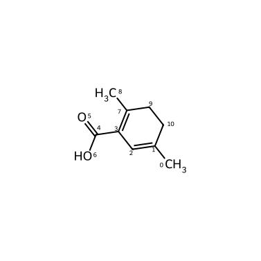 CC1=CC(C(=O)O)=C(C)CC1